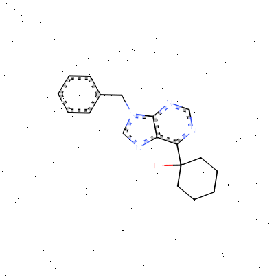 OC1(c2ncnc3c2ncn3Cc2ccccc2)CCCCC1